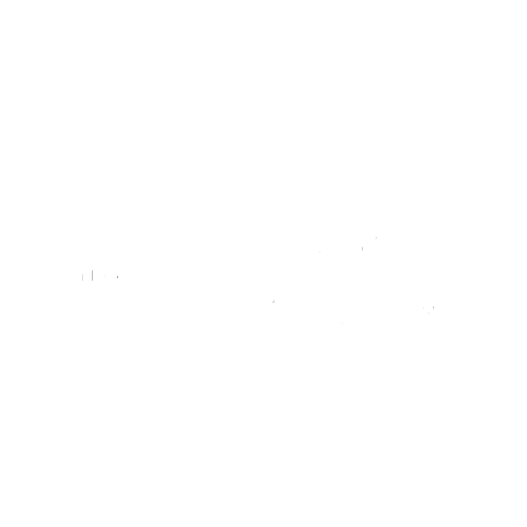 CCCCCCCCC=CC1=CC(=O)OC1=O